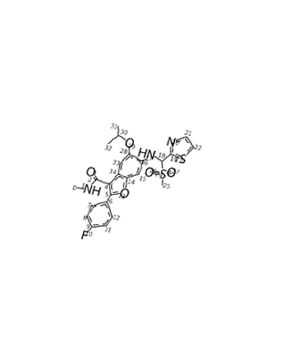 CNC(=O)c1c(-c2ccc(F)cc2)oc2cc(NC(c3nccs3)S(C)(=O)=O)c(OC(C)C)cc12